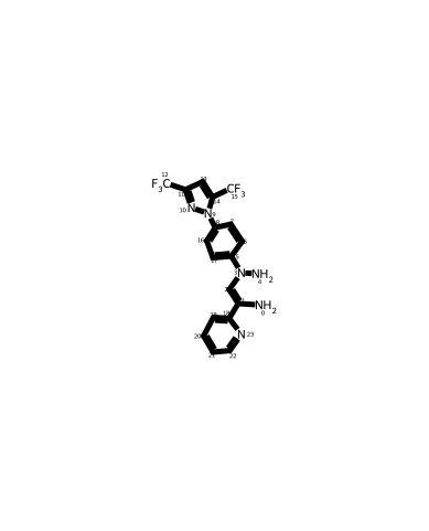 N/C(=C\N(N)c1ccc(-n2nc(C(F)(F)F)cc2C(F)(F)F)cc1)c1ccccn1